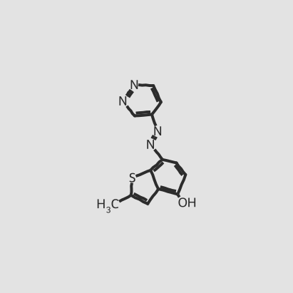 Cc1cc2c(O)ccc(/N=N/c3ccnnc3)c2s1